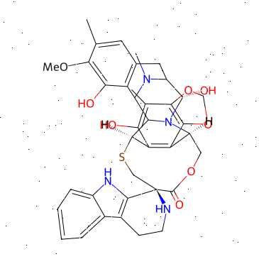 COc1c(C)cc2c(c1O)C1C3[C@@H]4SC[C@]5(NCCc6c5[nH]c5ccccc65)C(=O)OC[C@@H](c5c6c(c(C)c(O)c54)OCO6)N3[C@@H](O)C(C2)N1C